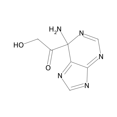 NC1(C(=O)CO)N=CN=C2N=CN=C21